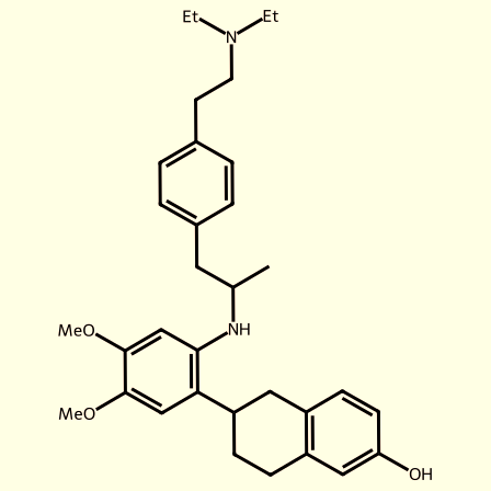 CCN(CC)CCc1ccc(CC(C)Nc2cc(OC)c(OC)cc2C2CCc3cc(O)ccc3C2)cc1